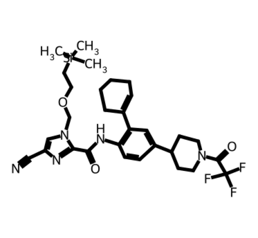 C[Si](C)(C)CCOCn1cc(C#N)nc1C(=O)Nc1ccc(C2CCN(C(=O)C(F)(F)F)CC2)cc1C1=CCCCC1